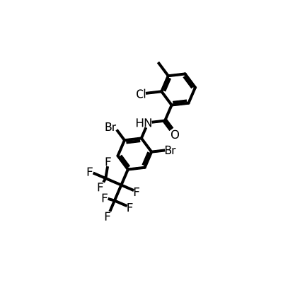 Cc1cccc(C(=O)Nc2c(Br)cc(C(F)(C(F)(F)F)C(F)(F)F)cc2Br)c1Cl